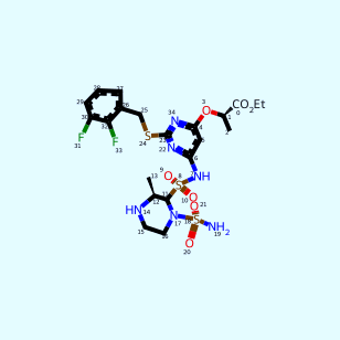 CCOC(=O)[C@@H](C)Oc1cc(NS(=O)(=O)C2[C@H](C)NCCN2S(N)(=O)=O)nc(SCc2cccc(F)c2F)n1